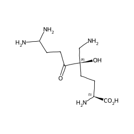 NC[C@](O)(CC[C@H](N)C(=O)O)C(=O)CCC(N)N